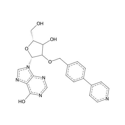 OC[C@H]1O[C@@H](n2cnc3c(O)ncnc32)C(OCc2ccc(-c3ccncc3)cc2)C1O